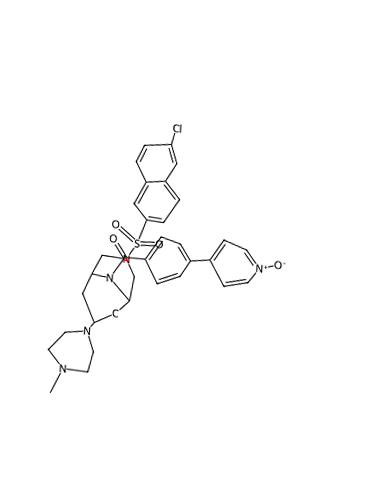 CN1CCN(C2CC3CN(S(=O)(=O)c4ccc5cc(Cl)ccc5c4)CC(C2)N3C(=O)c2ccc(-c3cc[n+]([O-])cc3)cc2)CC1